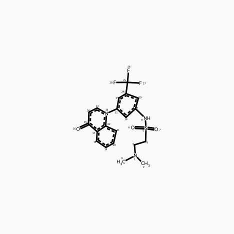 CN(C)CCS(=O)(=O)Nc1cc(-n2ccc(=O)c3ccccc32)cc(C(F)(F)F)c1